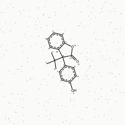 CC(C)(C)C1(c2ccc(O)cc2)C(=O)Oc2ccccc21